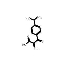 C=C(C(=O)O)C(=O)c1ccc(C(C)C)cc1